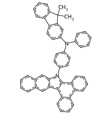 CC1(C)c2ccccc2-c2ccc(N(c3ccccc3)c3ccc(-n4c5cc6ccccc6cc5c5c6ccccc6c6ccccc6c54)cc3)cc21